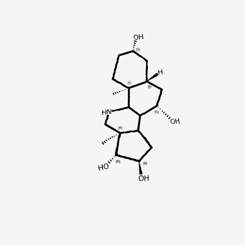 C[C@]12CNC3C(C1C[C@@H](O)[C@@H]2O)[C@@H](O)C[C@H]1C[C@@H](O)CC[C@]31C